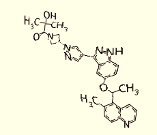 Cc1ccc2ncccc2c1C(C)Oc1ccc2[nH]nc(-c3cnn(C4CN(C(=O)C(C)(C)O)C4)c3)c2c1